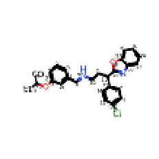 CCC(Oc1cccc(CNCCC(c2ccc(Cl)cc2)c2nc3ccccc3o2)c1)C(=O)O